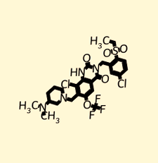 CCS(=O)(=O)c1ccc(Cl)cc1Cn1c(=O)[nH]c2c(Cl)c(CN3CCCC(N(C)C)C3)c(OC(F)(F)F)cc2c1=O